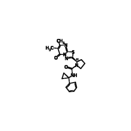 Cc1nc2sc([C@H]3CCCN3C(=O)NC3(c4ccccc4)CC3)nn2c(=O)c1C